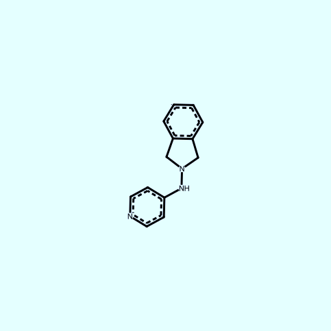 [c]1ccc2c(c1)CN(Nc1ccncc1)C2